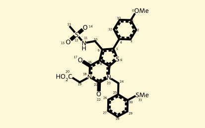 COc1ccc(-c2sc3c(c2CNS(C)(=O)=O)c(=O)n(CC(=O)O)c(=O)n3Cc2ccccc2SC)cc1